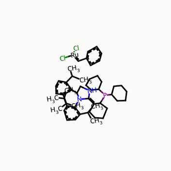 CC(C)c1cccc(C(C)C)c1C1CNC(=C2CCCCC2P(C2CCCCC2)C2CCCCC2)N1c1c(C(C)C)cccc1C(C)C.[Cl][Ru]([Cl])=[CH]c1ccccc1